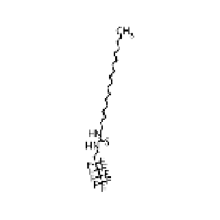 CCCCCCCCCCCCCCCCCCNC(=S)NCCC(F)(F)C(F)(F)C(F)(F)C(F)(F)F